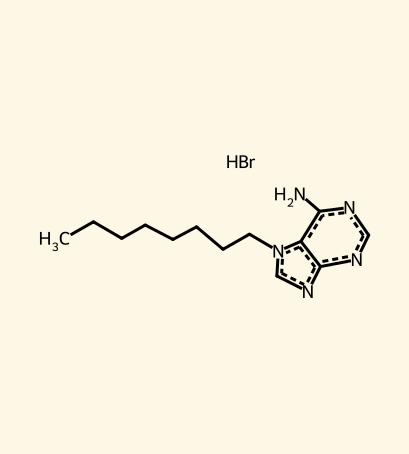 Br.CCCCCCCCn1cnc2ncnc(N)c21